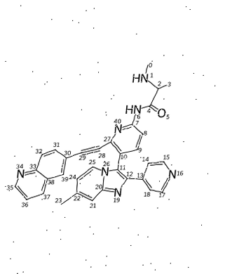 CNC(C)C(=O)Nc1ccc(-c2c(-c3ccncc3)nc3cc(C)ccn23)c(C#Cc2ccc3ncccc3c2)n1